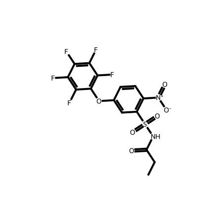 CCC(=O)NS(=O)(=O)c1cc(Oc2c(F)c(F)c(F)c(F)c2F)ccc1[N+](=O)[O-]